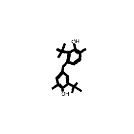 Cc1cc(Cc2ccc(C)c(O)c2C(C)(C)C)cc(C(C)(C)C)c1O